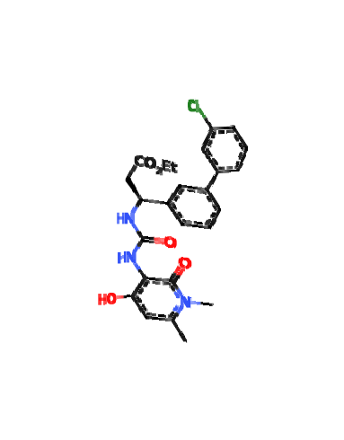 CCOC(=O)C[C@H](NC(=O)Nc1c(O)cc(C)n(C)c1=O)c1cccc(-c2cccc(Cl)c2)c1